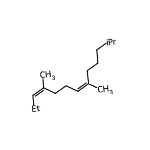 [CH2]CC=C(C)CCC=C(C)CCCC(C)C